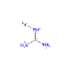 [CH2-][NH+]=C(N)N